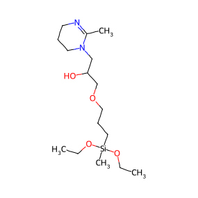 CCO[Si](C)(CCCOCC(O)CN1CCCN=C1C)OCC